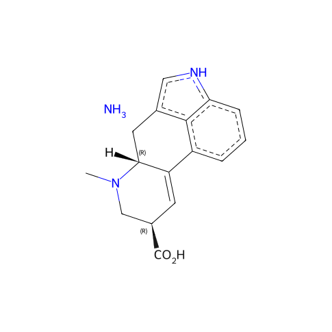 CN1C[C@H](C(=O)O)C=C2c3cccc4[nH]cc(c34)C[C@H]21.N